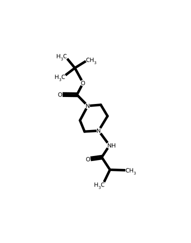 CC(C)C(=O)NN1CCN(C(=O)OC(C)(C)C)CC1